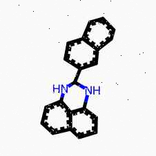 c1ccc2cc(C3Nc4cccc5cccc(c45)N3)ccc2c1